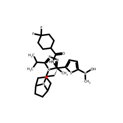 Cc1nnc(C(C)C)n1C1CC2CCC(C1)N2CC[C@H](NC(=O)C1CCC(F)(F)CC1)c1ccc(N(C)O)s1